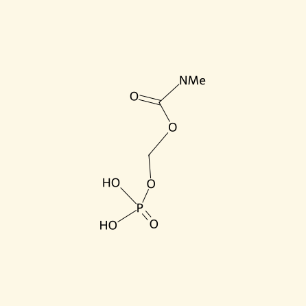 CNC(=O)OCOP(=O)(O)O